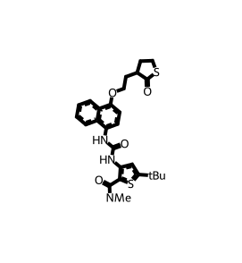 CNC(=O)c1sc(C(C)(C)C)cc1NC(=O)Nc1ccc(OCCC2CCSC2=O)c2ccccc12